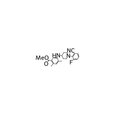 COC(=O)c1cc(NC2CCN(c3c(F)cccc3C#N)CC2)c(C)cc1C